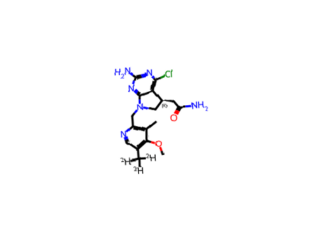 [2H]C([2H])([2H])c1cnc(CN2C[C@H](CC(N)=O)c3c(Cl)nc(N)nc32)c(C)c1OC